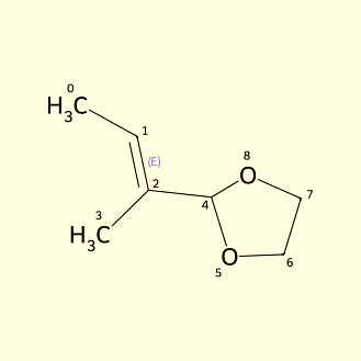 C/C=C(\C)C1OCCO1